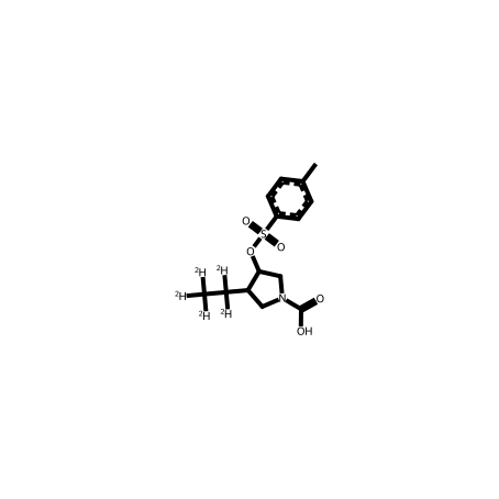 [2H]C([2H])([2H])C([2H])([2H])C1CN(C(=O)O)CC1OS(=O)(=O)c1ccc(C)cc1